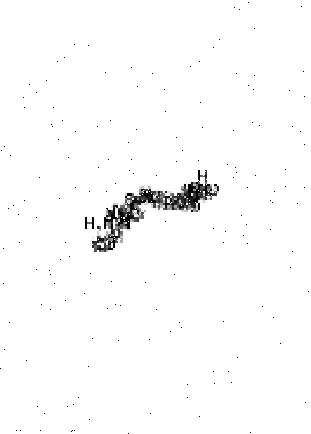 Nc1ncnc2c1c(-c1ccc(Oc3ccccc3)cc1)nn2[C@@H]1CCCN(C(=O)c2cnn(C3CC4(CCN(c5ccc6c(c5)C(=O)N(C5CCC(=O)NC5=O)C6=O)CC4)C3)c2)C1